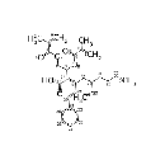 C=C(C)C(=O)OCC(OC(=O)C(=C)C)C(C(=O)O)=C(C=Cc1ccccc1)CC(CC)CCCC